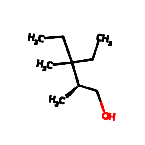 CCC(C)(CC)[C@@H](C)CO